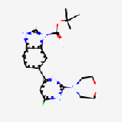 CC(C)(C)OC(=O)n1cnc2ccc(-c3cc(Cl)nc(N4CCOCC4)n3)cc21